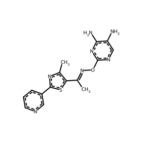 C/C(=N\Oc1ncc(N)c(N)n1)c1sc(-c2cccnc2)nc1C